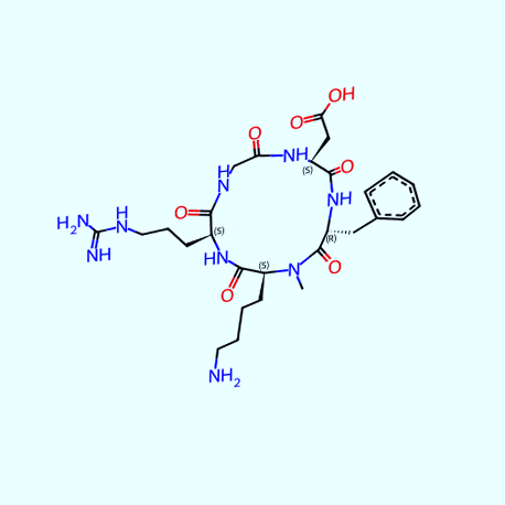 CN1C(=O)[C@@H](Cc2ccccc2)NC(=O)[C@H](CC(=O)O)NC(=O)CNC(=O)[C@H](CCCNC(=N)N)NC(=O)[C@@H]1CCCCN